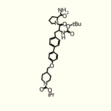 CC(C)OC(=O)N1CCC(COc2ccc(-c3ccc(CC(NC(=O)OC(C)(C)C)C(=O)N4CCCC4C(N)=O)cc3)cc2)CC1